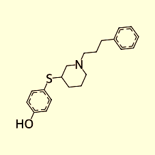 Oc1ccc(SC2CCCN(CCCc3ccccc3)C2)cc1